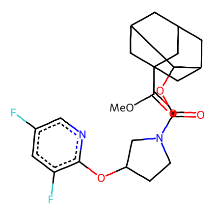 COC(=O)C12CC3CC(C1)C(OC(=O)N1CCC(Oc4ncc(F)cc4F)C1)C(C3)C2